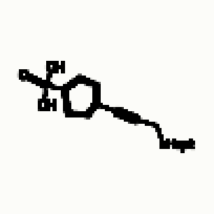 CCCCCCCCC#Cc1ccc(P(=O)(O)O)cc1